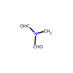 [CH2]N(C=O)C=O